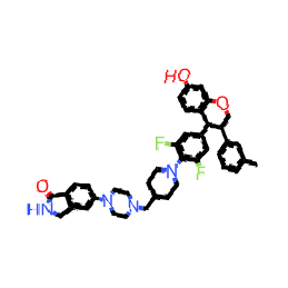 Cc1cccc(C2COc3cc(O)ccc3C2c2cc(F)c(N3CCC(CN4CCN(c5ccc6c(c5)CNC6=O)CC4)CC3)c(F)c2)c1